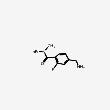 CCCN(C)C(=O)c1ccc(CN)cc1F